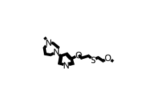 COCCSCCOc1cncc(N2CCCN(C)CC2)c1